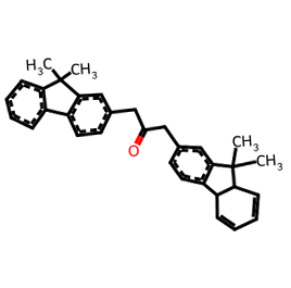 CC1(C)c2ccccc2-c2ccc(CC(=O)Cc3ccc4c(c3)C(C)(C)C3C=CC=CC43)cc21